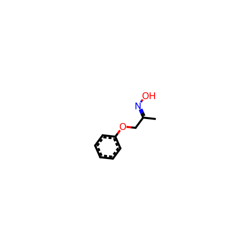 CC(COc1ccccc1)=NO